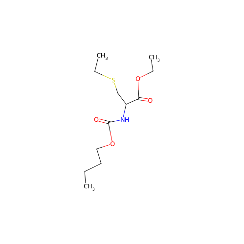 CCCCOC(=O)NC(CSCC)C(=O)OCC